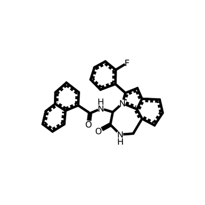 O=C(NC1C(=O)NCc2cccc3cc(-c4ccccc4F)n1c23)c1cccc2ccccc12